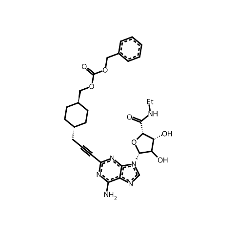 CCNC(=O)[C@H]1O[C@@H](n2cnc3c(N)nc(C#CC[C@H]4CC[C@H](COC(=O)OCc5ccccc5)CC4)nc32)C(O)[C@H]1O